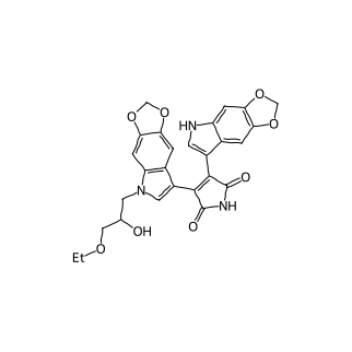 CCOCC(O)Cn1cc(C2=C(c3c[nH]c4cc5c(cc34)OCO5)C(=O)NC2=O)c2cc3c(cc21)OCO3